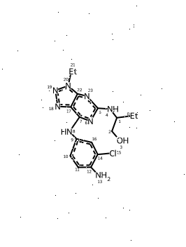 CCC(CO)Nc1nc(Nc2ccc(N)c(Cl)c2)c2nnn(CC)c2n1